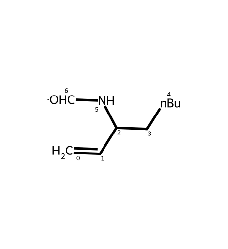 C=CC(CCCCC)N[C]=O